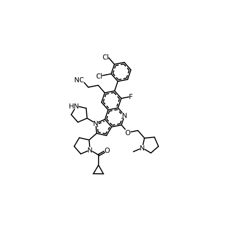 CN1CCCC1COc1nc2c(F)c(-c3cccc(Cl)c3Cl)c(CCC#N)cc2c2c1cc(C1CCCN1C(=O)C1CC1)n2C1CCNC1